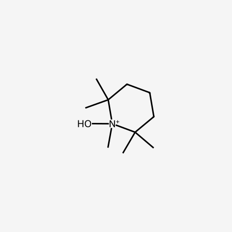 CC1(C)CCCC(C)(C)[N+]1(C)O